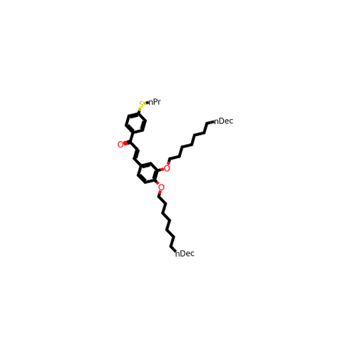 CCCCCCCCCCCCCCCCCOc1ccc(C=CC(=O)c2ccc(SCCC)cc2)cc1OCCCCCCCCCCCCCCCCC